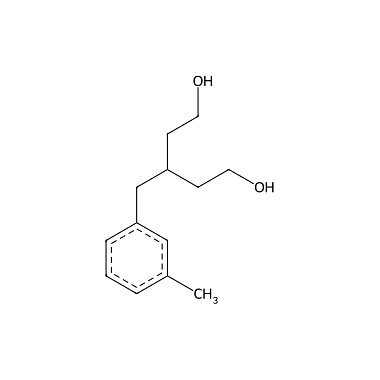 Cc1cccc(CC(CCO)CCO)c1